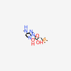 C=P(C)(C)CC[C@H]1OC(n2cnc3c(NC)ccnc32)[C@H](O)[C@@H]1O